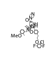 COc1cccc(CN(C(=O)C2=C(c3ccc(CCCOc4c(F)ccc(F)c4Cl)cc3)C[C@@H]3C[C@@H](C(=O)N4CCN(C)CC4)C[C@H]2N3)C2CC2)c1C